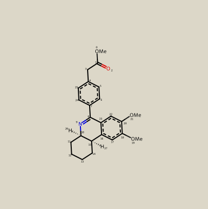 COC(=O)Cc1ccc(C2=N[C@@H]3CCCC[C@@H]3c3cc(OC)c(OC)cc32)cc1